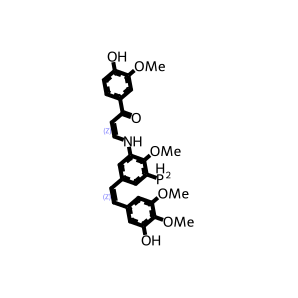 COc1cc(C(=O)/C=C\Nc2cc(/C=C\c3cc(O)c(OC)c(OC)c3)cc(P)c2OC)ccc1O